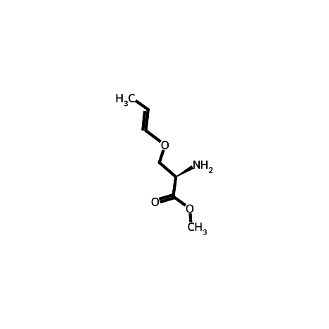 CC=COC[C@@H](N)C(=O)OC